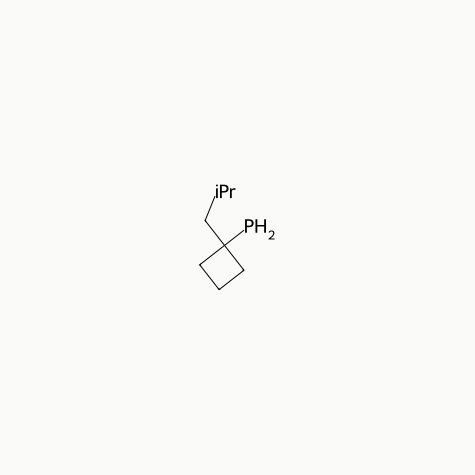 CC(C)CC1(P)CCC1